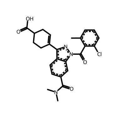 Cc1cccc(Cl)c1C(=O)n1nc(C2=CCC(C(=O)O)CC2)c2ccc(C(=O)N(C)C)cc21